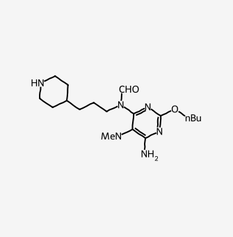 CCCCOc1nc(N)c(NC)c(N(C=O)CCCC2CCNCC2)n1